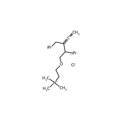 C=C=C(CC(C)C)C(CCC)COCC[N+](C)(C)C.[Cl-]